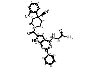 N#CC1(c2ccccc2Cl)CCN(C(=O)c2cc3c(NCC(N)=O)nc(-c4ccccc4)nc3[nH]2)CC1